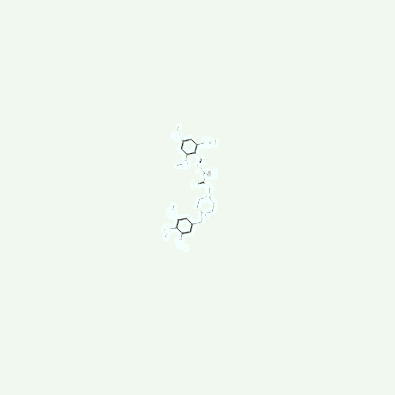 COc1cc(O)c(/C=N/NC(=O)CN2CCN(Cc3cc(OC)c(OC)c(OC)c3)CC2)c(OC)c1